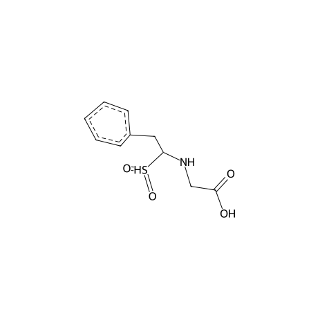 O=C(O)CNC(Cc1ccccc1)[SH](=O)=O